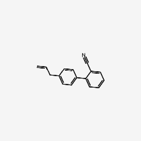 C=CCc1ccc(-c2ccccc2C#N)cc1